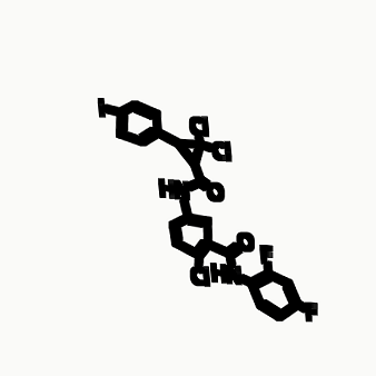 O=C(Nc1ccc(F)cc1F)c1cc(NC(=O)C2C(c3ccc(I)cc3)C2(Cl)Cl)ccc1Cl